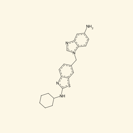 Nc1ccc2c(c1)ncn2Cc1ccc2nc(NC3CCCCC3)sc2c1